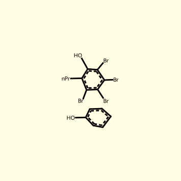 CCCc1c(O)c(Br)c(Br)c(Br)c1Br.Oc1ccccc1